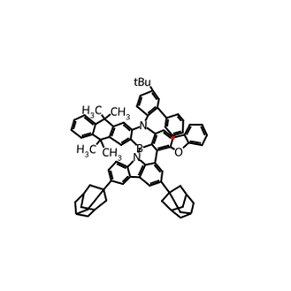 CC(C)(C)c1ccc(N2c3cc4c(cc3B3c5c2cc2c(oc6ccccc62)c5-c2cc(C56CC7CC(CC(C7)C5)C6)cc5c6cc(C78CC9CC(CC(C9)C7)C8)ccc6n3c25)C(C)(C)c2ccccc2C4(C)C)c(-c2ccccc2)c1